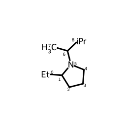 CCC1CCCN1C(C)C(C)C